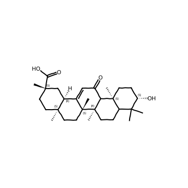 CC1(C)C2CC[C@]3(C)C(C(=O)C=C4[C@@H]5C[C@@](C)(C(=O)O)CC[C@]5(C)CC[C@]43C)[C@@]2(C)CC[C@@H]1O